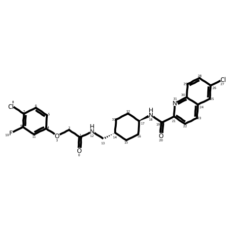 O=C(COc1ccc(Cl)c(F)c1)NC[C@H]1CC[C@H](NC(=O)c2ccc3cc(Cl)ccc3n2)CC1